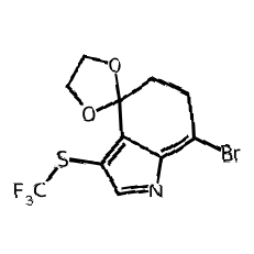 FC(F)(F)SC1=C2C(=C(Br)CCC23OCCO3)N=C1